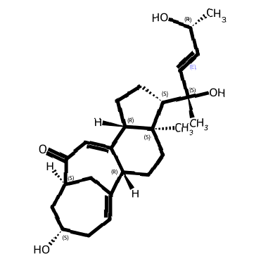 C[C@@H](O)/C=C/[C@](C)(O)[C@H]1CC[C@H]2C3=CC(=O)[C@H]4CC(=CC[C@H](O)C4)[C@H]3CC[C@@]21C